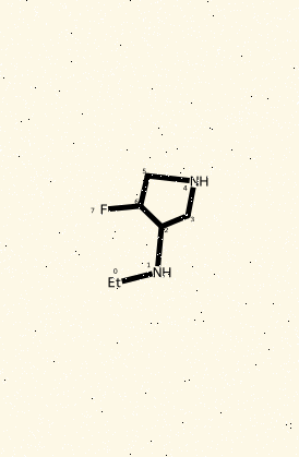 CCNC1CNCC1F